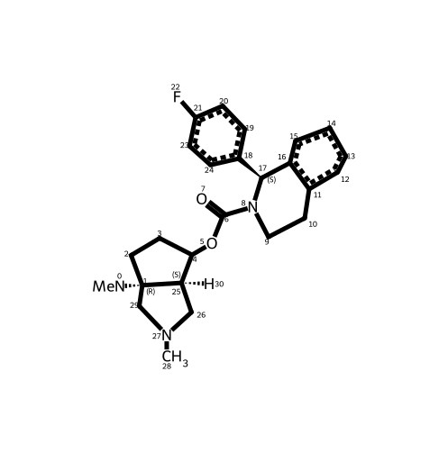 CN[C@]12CCC(OC(=O)N3CCc4ccccc4[C@@H]3c3ccc(F)cc3)[C@H]1CN(C)C2